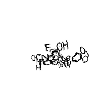 CC(C)OC(=O)[C@H](C)NP(=O)(OC[C@H]1O[C@@H](n2ccc(=O)[nH]c2=O)[C@H](F)[C@@H]1O)Oc1ccc2c(c1)OCCO2